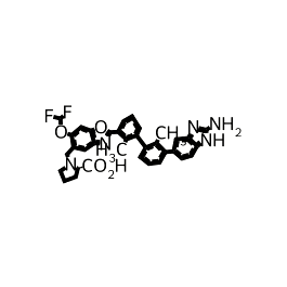 Cc1c(-c2ccc3[nH]c(N)nc3c2)cccc1-c1cccc(-c2nc3cc(CN4CCC[C@H]4C(=O)O)c(OC(F)F)cc3o2)c1C